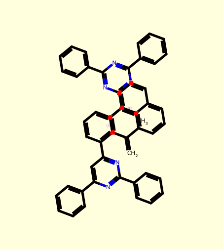 C=C(/C=C\C(=C/C)c1nc(-c2ccccc2)nc(-c2ccccc2)n1)c1cccc2cccc(-c3cccc(-c4cc(-c5ccccc5)nc(-c5ccccc5)n4)c3)c12